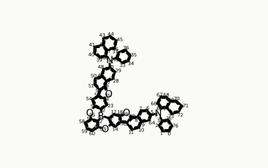 c1ccc(N(c2ccc3c(ccc4c5cc6c(cc5oc34)B3c4cc5oc7c8ccc(N(c9ccccc9)c9cccc%10ccccc9%10)cc8ccc7c5cc4Oc4cccc(c43)O6)c2)c2cccc3ccccc23)cc1